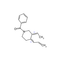 C=C/C=C1/CCN(C(=O)c2ccccc2)C/C1=C/C